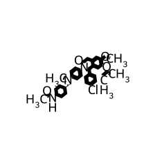 CC[C@@H](C)Oc1cc2c(cc1OC)CC(=O)N(c1ccc(N(C)C[C@H]3CC[C@@H](NC(C)=O)CC3)cc1)C2c1ccc(Cl)cc1